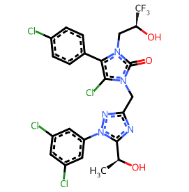 C[C@H](O)c1nc(Cn2c(Cl)c(-c3ccc(Cl)cc3)n(C[C@H](O)C(F)(F)F)c2=O)nn1-c1cc(Cl)cc(Cl)c1